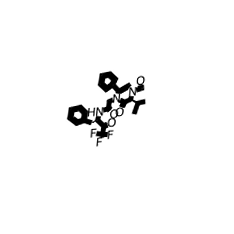 CC(C)[C@H]1C(=O)N(CC(=O)N[C@@H](Cc2ccccc2)C(=O)C(F)(F)F)C(c2ccccc2)=CN1C=O